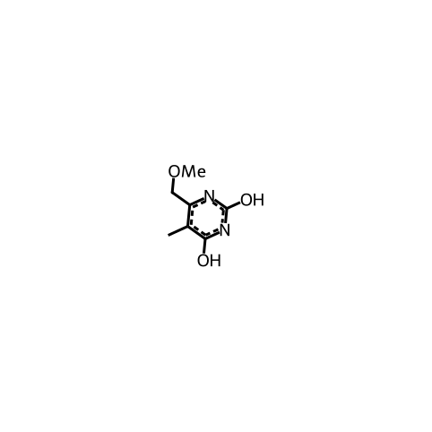 COCc1nc(O)nc(O)c1C